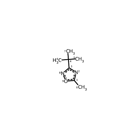 Cc1nc(C(C)(C)C)no1